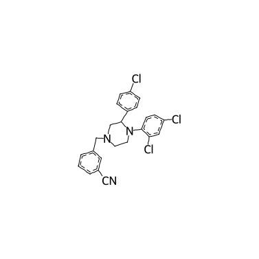 N#Cc1cccc(CN2CCN(c3ccc(Cl)cc3Cl)C(c3ccc(Cl)cc3)C2)c1